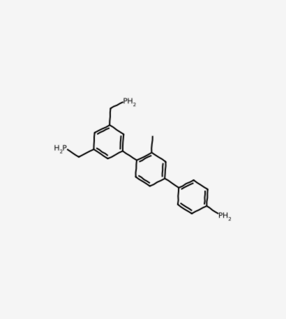 Cc1cc(-c2ccc(P)cc2)ccc1-c1cc(CP)cc(CP)c1